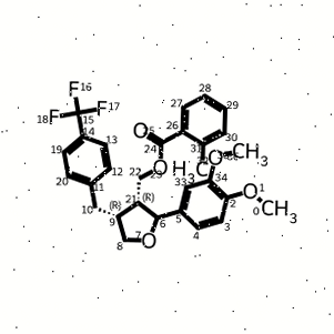 COc1ccc(C2OC[C@H](Cc3ccc(C(F)(F)F)cc3)[C@@H]2COC(=O)c2ccccc2C)cc1OC